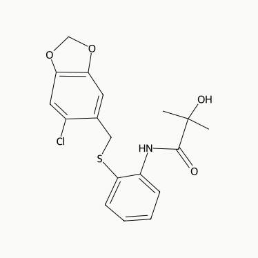 CC(C)(O)C(=O)Nc1ccccc1SCc1cc2c(cc1Cl)OCO2